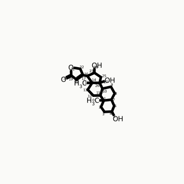 CC12CCC(O)CC1CCC1C2CCC2(C)C(C3=CC(=O)OC3)C(O)CC12O